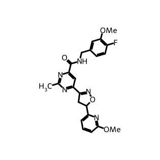 COc1cccc(C2CC(c3cc(C(=O)NCc4ccc(F)c(OC)c4)nc(C)n3)=NO2)n1